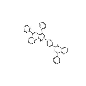 c1ccc(-c2cc(-c3ccc(-c4cc(-c5ccccc5)c5cc(-c6ccccc6)c6ccccc6c5n4)cc3)nc3ccccc23)cc1